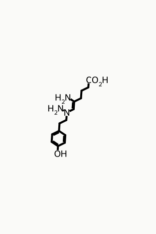 N/C(=C\N(N)CCc1ccc(O)cc1)CCCC(=O)O